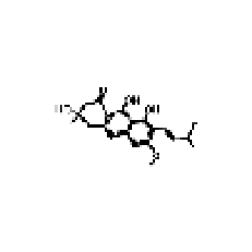 COc1cc2cc3c(c(O)c2c(O)c1C=CC(C)C)C(=O)CC(C)(O)C3